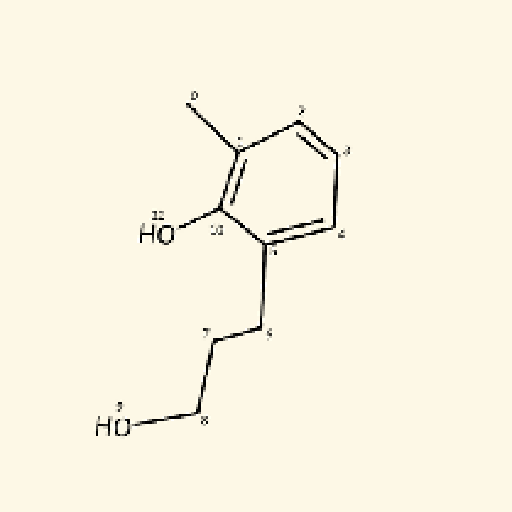 Cc1cccc(CCCO)c1O